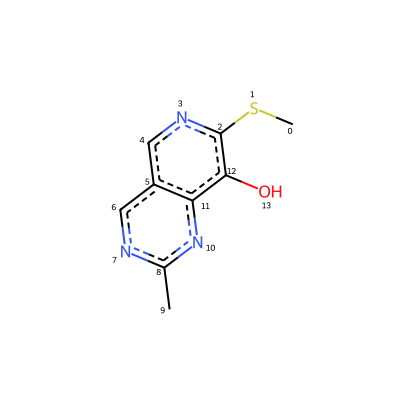 CSc1ncc2cnc(C)nc2c1O